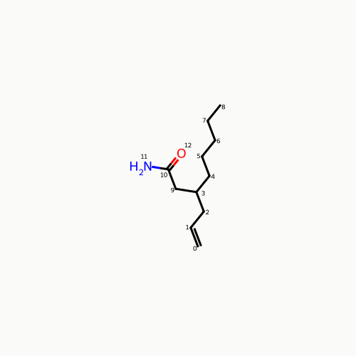 C=CCC(CCCCC)CC(N)=O